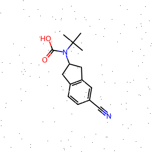 CC(C)(C)N(C(=O)O)C1Cc2ccc(C#N)cc2C1